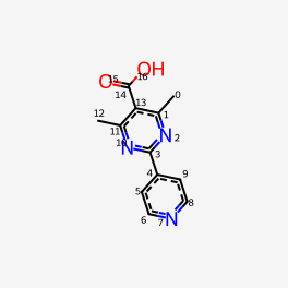 Cc1nc(-c2ccncc2)nc(C)c1C(=O)O